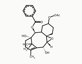 CC(=O)OOC1CC[C@@]23O[C@@H]2[C@H](O)C2=C(C)CC[C@@](O)([C@@H](OC(=O)c4ccccc4)C3C1)C2(C)C